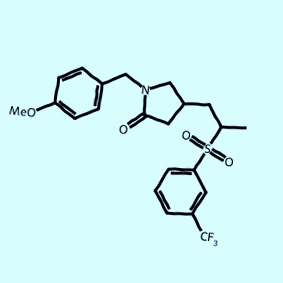 COc1ccc(CN2CC(CC(C)S(=O)(=O)c3cccc(C(F)(F)F)c3)CC2=O)cc1